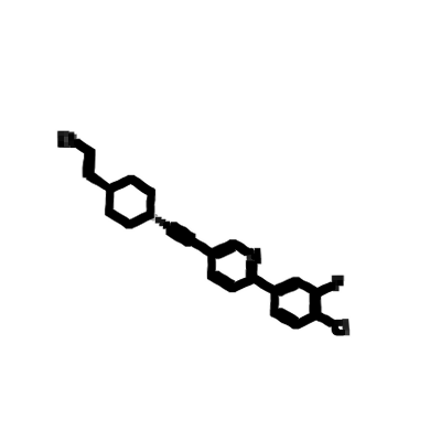 CCC=C[C@H]1CC[C@H](C#Cc2ccc(-c3ccc(Cl)c(F)c3)nc2)CC1